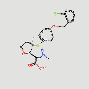 CNC(C(=O)O)[C@H]1OCC[C@@]1(C)Sc1ccc(OCc2ccccc2F)cc1